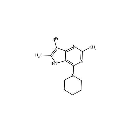 CCCc1c(C)[nH]c2c(N3CCCCC3)nc(C)nc12